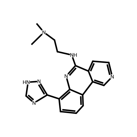 CN(C)CCNc1nc2c(-c3nc[nH]n3)cccc2c2cnccc12